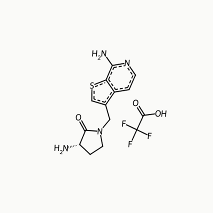 Nc1nccc2c(CN3CC[C@H](N)C3=O)csc12.O=C(O)C(F)(F)F